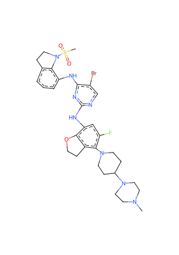 CN1CCN(C2CCN(c3c(F)cc(Nc4ncc(Br)c(Nc5cccc6c5N(S(C)(=O)=O)CC6)n4)c4c3CCO4)CC2)CC1